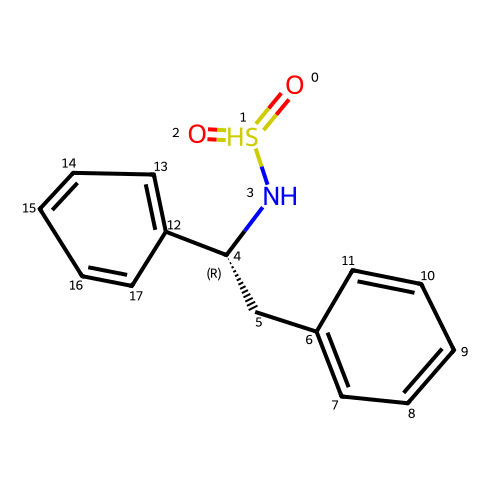 O=[SH](=O)N[C@H](Cc1ccccc1)c1ccccc1